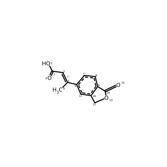 C/C(=C\C(=O)O)c1ccc2c(c1)COC2=O